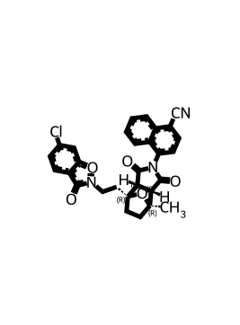 C[C@]12CC[C@](CCn3oc4cc(Cl)ccc4c3=O)(O1)[C@@H]1C(=O)N(c3ccc(C#N)c4ccccc34)C(=O)[C@@H]12